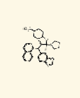 O=C(O)C1CCC(OC(F)(C(=O)C(c2ccc3ncoc3c2)c2nccc3ccccc23)N2CCCC2)CC1